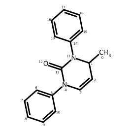 CC1C=CN(c2ccccc2)C(=O)N1c1ccccc1